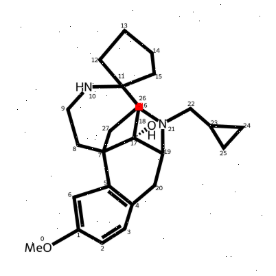 COc1ccc2c(c1)C13CCNC4(CCCC4)C[C@@]1(O)C(C2)N(CC1CC1)CC3